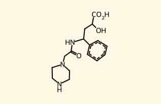 O=C(CN1CCNCC1)NC(CC(O)C(=O)O)c1ccccc1